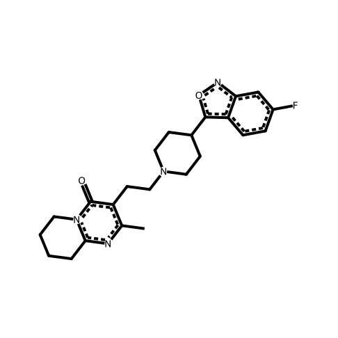 Cc1nc2n(c(=O)c1CCN1CCC(c3onc4cc(F)ccc34)CC1)CCCC2